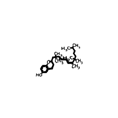 CC(C)CCCC(C)(C)C(C)CCCCC(C)(C)CC1CCc2cc(O)ccc2O1